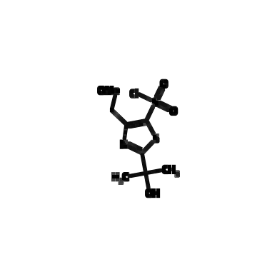 COCc1nc(C(C)(C)O)sc1S(=O)(=O)Cl